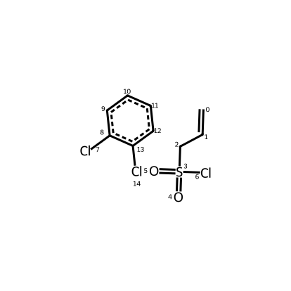 C=CCS(=O)(=O)Cl.Clc1ccccc1Cl